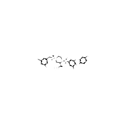 NC(=O)[C@H]1CN(S(=O)(=O)Cc2cc(Cl)cc(Cl)c2)CCN1S(=O)(=O)c1cc(F)c(Oc2ccc(Cl)cc2)c(F)c1